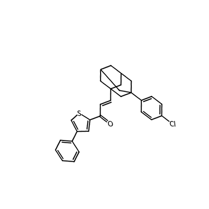 O=C(C=CC12CC3CC(C1)CC(c1ccc(Cl)cc1)(C3)C2)c1cc(-c2ccccc2)cs1